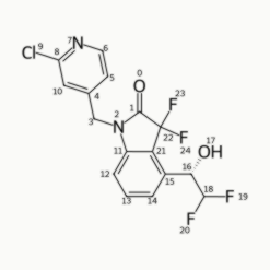 O=C1N(Cc2ccnc(Cl)c2)c2cccc([C@H](O)C(F)F)c2C1(F)F